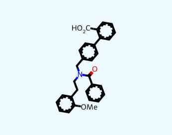 COc1ccccc1CCN(Cc1ccc(-c2ccccc2C(=O)O)cc1)C(=O)c1ccccc1